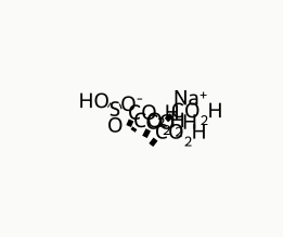 CC(=O)O.CC(=O)O.CC(=O)O.CC(=O)O.CC(=O)O.O=S([O-])O.[Na+]